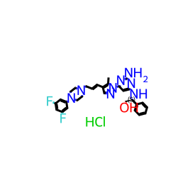 Cc1c(C=CCN2CCN(c3cc(F)cc(F)c3)CC2)cnn1-c1cc(N[C@H](CO)c2ccccc2)nc(N)n1.Cl